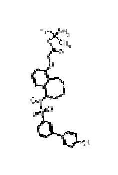 Cc1ccc(-c2cccc(S(=O)(=O)N(C)C3=C4C=CCC(OCC(=O)OC(C)(C)C)=C4CCCC3)c2)cc1